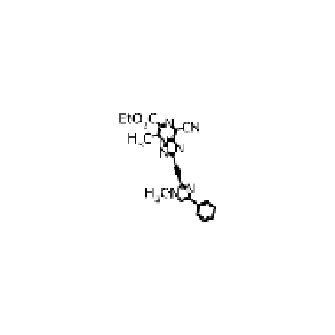 CCOC(=O)c1nc(C#N)c2nc(C#Cc3nc(-c4ccccc4)cn3C)nn2c1C